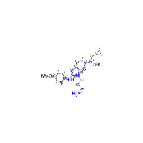 CCCN(CC1CC1)c1ccc2nc(Nc3ccc(OC)cc3)n(CCCN)c2n1